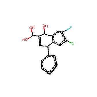 OC(O)C1=CC(c2ccccc2)c2cc(Cl)c(F)cc2C1O